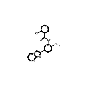 Cc1ccc(-c2cn3cccnc3n2)cc1NC(=O)c1ccccc1Cl